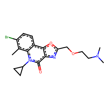 Cc1c(Br)ccc2c3oc(COCCN(C)C)nc3c(=O)n(C3CC3)c12